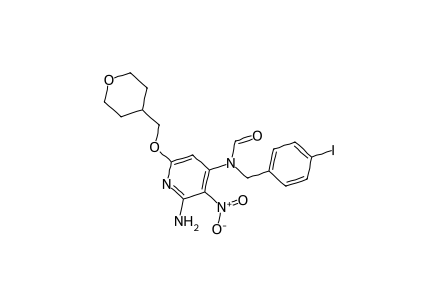 Nc1nc(OCC2CCOCC2)cc(N(C=O)Cc2ccc(I)cc2)c1[N+](=O)[O-]